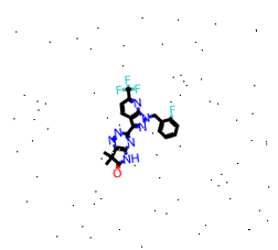 CC1(C)C(=O)Nc2nc(-c3nn(Cc4ccccc4F)c4nc(C(F)(F)F)ccc34)nnc21